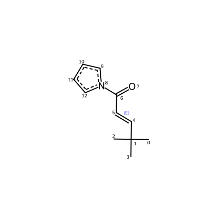 CC(C)(C)/C=C/C(=O)n1cccc1